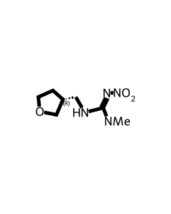 CNC(=N[N+](=O)[O-])NC[C@H]1CCOC1